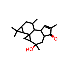 CC1=CC2C(CC(C)(O)C3CC34C2C(C)CC2C4C2(C)C)C1=O